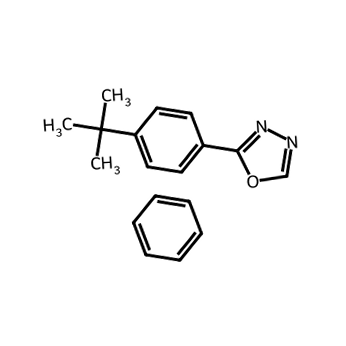 CC(C)(C)c1ccc(-c2nnco2)cc1.c1ccccc1